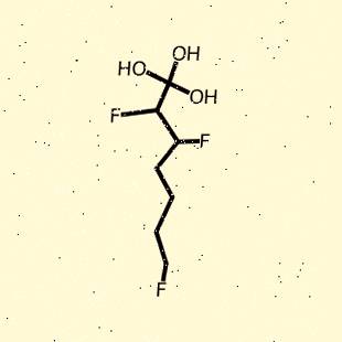 OC(O)(O)C(F)C(F)CCCCF